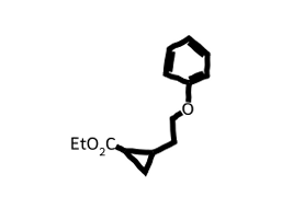 CCOC(=O)C1CC1CCOc1ccccc1